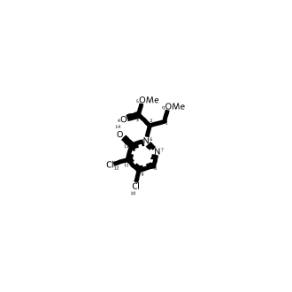 COCC(C(=O)OC)n1ncc(Cl)c(Cl)c1=O